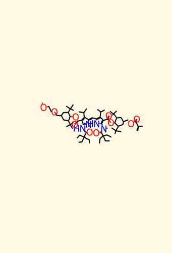 C=C(C)C(=O)OCC1CC(C(C)(C)C)C(OC(=O)c2c(N(C)C(=O)C(CC)(CC)CC)[nH]c(/C=C3\N=C(NC(=O)C(CC)(CC)CC)C(C(=O)OC4C(C(C)(C)C)CC(COCCOC)CC4C(C)(C)C)=C3C(C)C)c2C(C)C)C(C(C)(C)C)C1